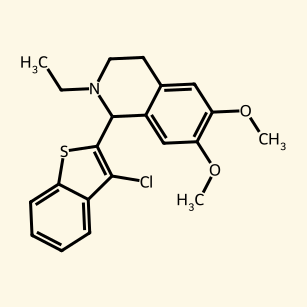 CCN1CCc2cc(OC)c(OC)cc2C1c1sc2ccccc2c1Cl